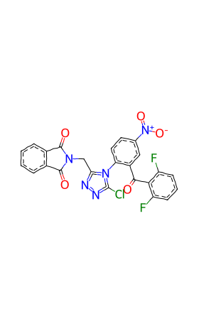 O=C(c1cc([N+](=O)[O-])ccc1-n1c(Cl)nnc1CN1C(=O)c2ccccc2C1=O)c1c(F)cccc1F